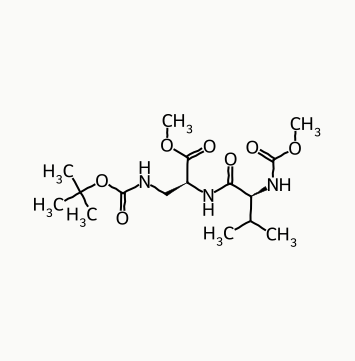 COC(=O)N[C@H](C(=O)N[C@@H](CNC(=O)OC(C)(C)C)C(=O)OC)C(C)C